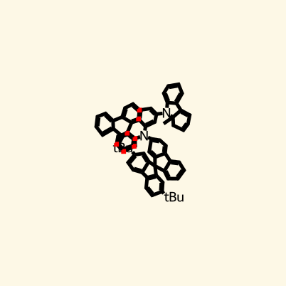 CC(C)(C)c1ccc2c(c1)C1(c3ccccc3-c3ccc(N(c4cccc(N5c6ccccc6C6=CC=CCC65C)c4)c4ccccc4-c4ccccc4-c4ccccc4-c4ccccc4)cc31)c1cc(C(C)(C)C)ccc1-2